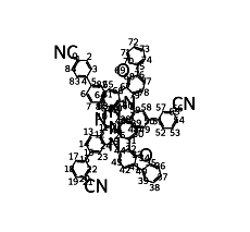 N#Cc1ccc(-c2ccc(-c3nc(-c4ccc(-c5cccc(C#N)c5)cc4-n4c5ccccc5c5c6oc7ccccc7c6ccc54)nc(-c4ccc(-c5cccc(C#N)c5)cc4-n4c5ccccc5c5c6oc7ccccc7c6ccc54)n3)cc2)cc1